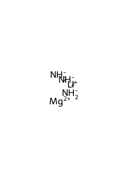 [Li+].[Mg+2].[NH2-].[NH2-].[NH2-]